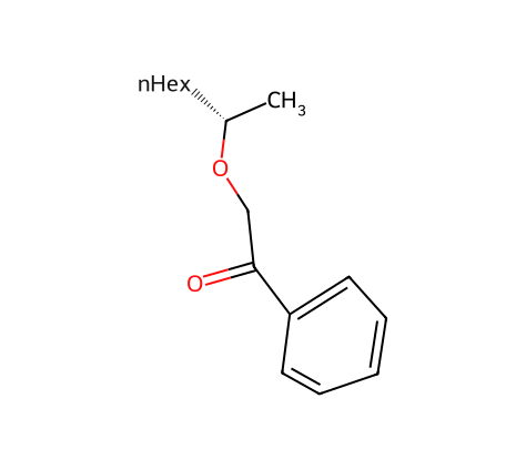 CCCCCC[C@H](C)OCC(=O)c1ccccc1